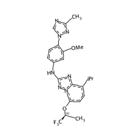 COc1cc(Nc2nc3c(C(C)C)ccc(O[C@@H](C)C(F)(F)F)n3n2)ccc1-n1cnc(C)n1